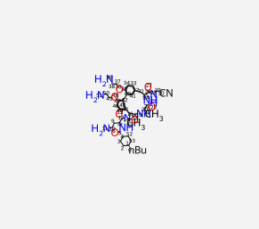 CCCC[C@H]1CC[C@H](C(=O)N[C@@H](CCN)C(=O)N(C)[C@@H]2C(=O)N[C@@H](C)C(=O)N[C@H](C(=O)NCC#N)Cc3ccc(OCCN)c(c3)-c3cc2ccc3OCCN)CC1